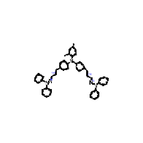 Cc1ccc(N(c2ccc(/C=C/C=N/N(c3ccccc3)c3ccccc3)cc2)c2ccc(/C=C/C=N/N(c3ccccc3)c3ccccc3)cc2)c(C)c1